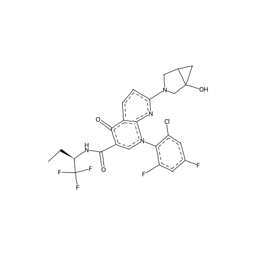 CC[C@@H](NC(=O)c1cn(-c2c(F)cc(F)cc2Cl)c2nc(N3CC4CC4(O)C3)ccc2c1=O)C(F)(F)F